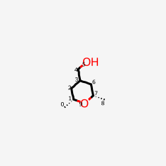 C[C@@H]1CC(CO)C[C@H](C)O1